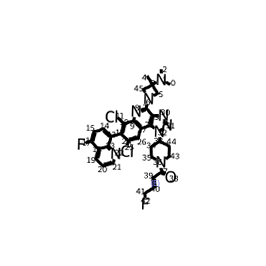 CN(C)C1(C)CN(c2nc3c(Cl)c(-c4ccc(F)c5cccnc45)c(Cl)cc3c3c2nnn3C2CCN(C(=O)/C=C/CF)CC2)C1